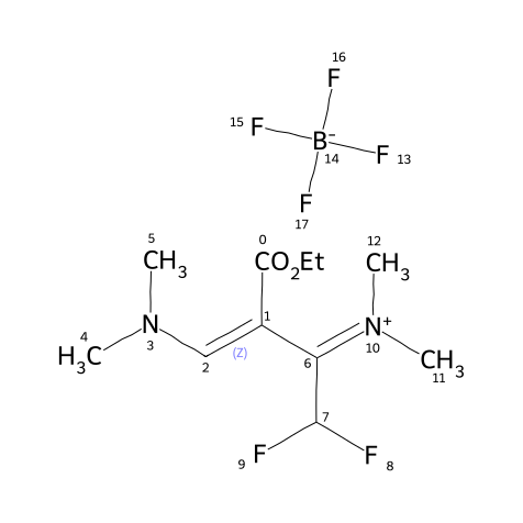 CCOC(=O)/C(=C\N(C)C)C(C(F)F)=[N+](C)C.F[B-](F)(F)F